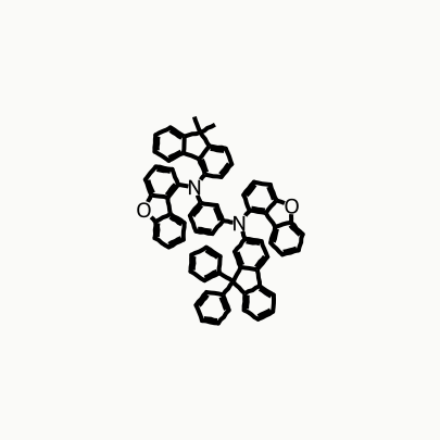 CC1(C)c2ccccc2-c2c(N(c3cccc(N(c4ccc5c(c4)C(c4ccccc4)(c4ccccc4)c4ccccc4-5)c4cccc5oc6ccccc6c45)c3)c3cccc4oc5ccccc5c34)cccc21